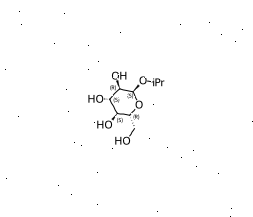 CC(C)O[C@H]1O[C@H](CO)[C@@H](O)[C@H](O)[C@H]1O